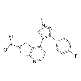 CCC(=O)N1Cc2nccc(-c3cn(C)nc3-c3ccc(F)cc3)c2C1